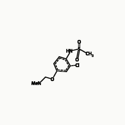 CNCOc1ccc(NS(C)(=O)=O)c(Cl)c1